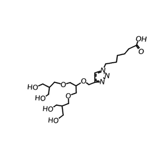 O=C(O)CCCCCn1cc(COC(COCC(CO)CO)COCC(CO)CO)nn1